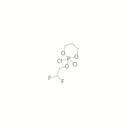 FC(F)COP1(Cl)(Cl)OCCCO1